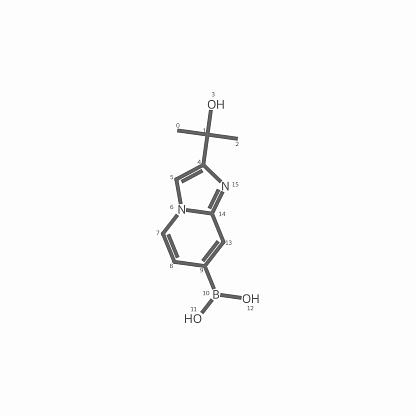 CC(C)(O)c1cn2ccc(B(O)O)cc2n1